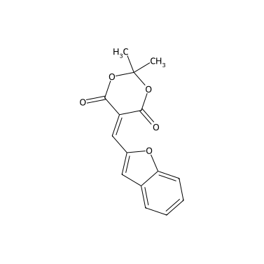 CC1(C)OC(=O)C(=Cc2cc3ccccc3o2)C(=O)O1